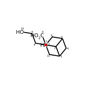 O=C(O)NC1C2CC1CN(CCO)C2